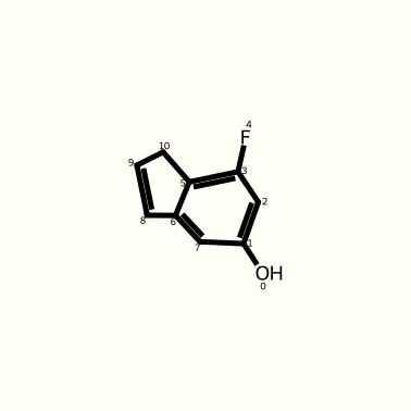 Oc1cc(F)c2c(c1)C=CC2